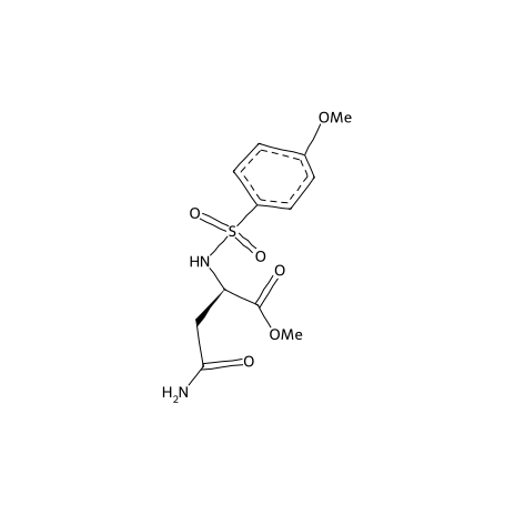 COC(=O)[C@@H](CC(N)=O)NS(=O)(=O)c1ccc(OC)cc1